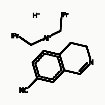 CC(C)[CH2][Al+][CH2]C(C)C.N#Cc1ccc2c(c1)C=NCC2.[H-]